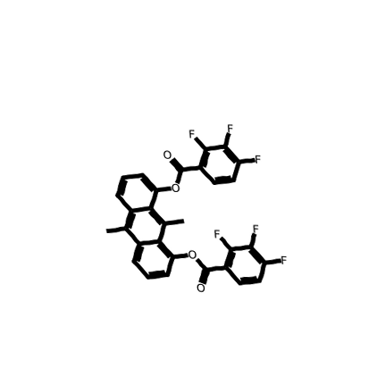 Cc1c2cccc(OC(=O)c3ccc(F)c(F)c3F)c2c(C)c2c(OC(=O)c3ccc(F)c(F)c3F)cccc12